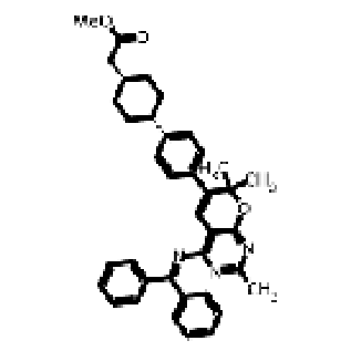 COC(=O)C[C@H]1CC[C@H](c2ccc(C3=Cc4c(N=C(c5ccccc5)c5ccccc5)nc(C)nc4OC3(C)C)cc2)CC1